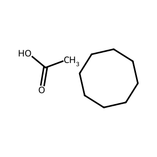 C1CCCCCCC1.CC(=O)O